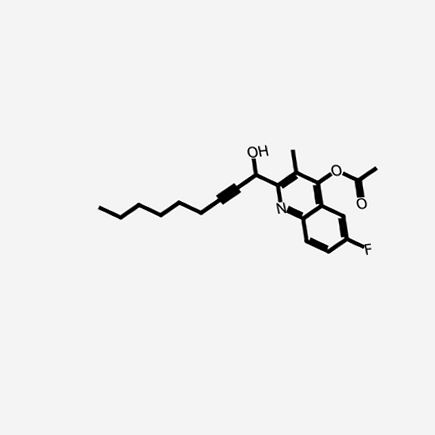 CCCCCCC#CC(O)c1nc2ccc(F)cc2c(OC(C)=O)c1C